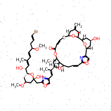 C=C1C[C@@H]2C/C=C\C(=O)O[C@H]3[C@@H](C)[C@@H](C/C=C/c4nc(co4)[C@H]4C[C@H](O)C[C@H](O4)[C@@H](C1)O2)O[C@@H](/C(C)=C/c1coc(C[C@]2(O)CC(OC)C[C@H]([C@H](O)/C=C(C)/C=C/C(C/C=C/Br)OC)O2)n1)[C@@H]3C